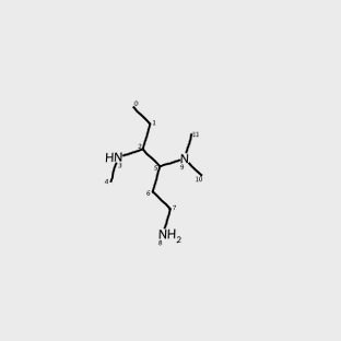 CCC(NC)C(CCN)N(C)C